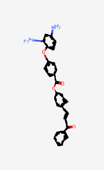 Nc1ccc(Oc2ccc(C(=O)Oc3ccc(C=CC(=O)c4ccccc4)cc3)cc2)c(N)c1